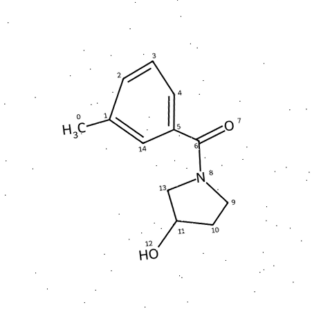 Cc1cccc(C(=O)N2CCC(O)C2)c1